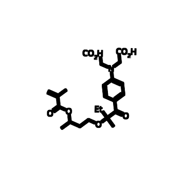 C=C(C)C(=O)OC(C)CCOC(C)(CC)C(=O)c1ccc(N(CC(=O)O)CC(=O)O)cc1